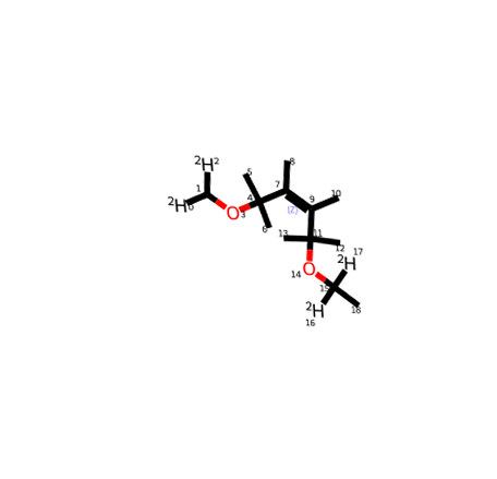 [2H]C([2H])OC(C)(C)/C(C)=C(/C)C(C)(C)OC([2H])([2H])C